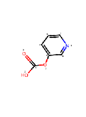 O=C(O)Oc1cccnc1